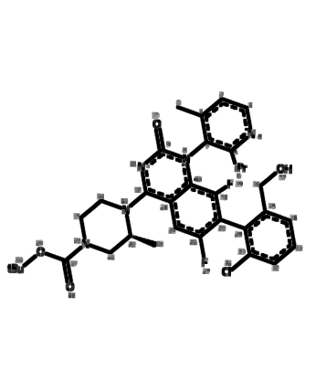 Cc1ccnc(C(C)C)c1-n1c(=O)nc(N2CCN(C(=O)OC(C)(C)C)C[C@@H]2C)c2cc(F)c(-c3c(Cl)cccc3CO)c(F)c21